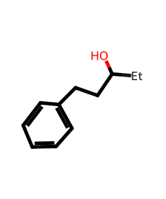 [CH2]CC(O)CCc1ccccc1